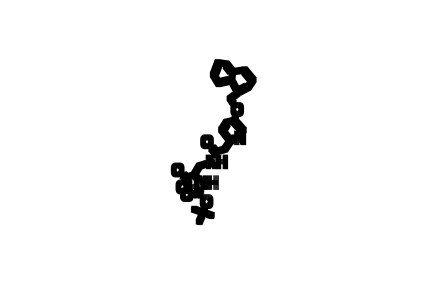 CC(C)(C)OC(=O)NC(CNC(=O)Cc1ccc(OCc2cccc3ccccc23)cn1)C(=O)O